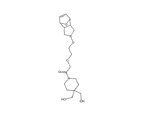 O=C(COCCON1CC2C3C=CC(O3)C2C1)N1CCC(CO)(CO)CC1